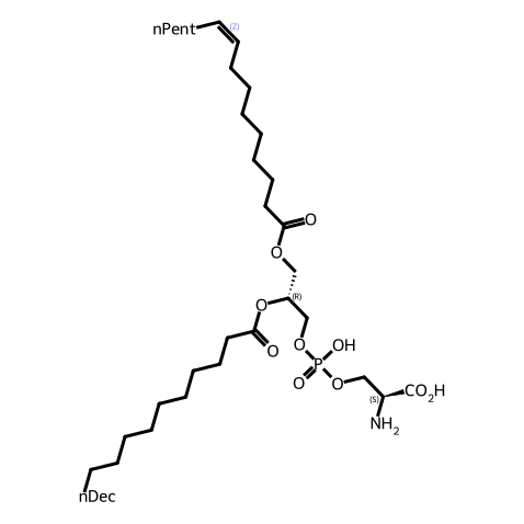 CCCCC/C=C\CCCCCCCC(=O)OC[C@H](COP(=O)(O)OC[C@H](N)C(=O)O)OC(=O)CCCCCCCCCCCCCCCCCCC